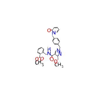 COCc1nn(Cc2ccc(Cn3ccccc3=O)cc2)cc1C(=O)NCc1ccccc1C(=O)OC